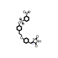 O=C1NC(=O)/C(=C/c2ccc(OCCc3ccc(OS(=O)(=O)c4cccc([N+](=O)[O-])c4)cc3)cc2)S1